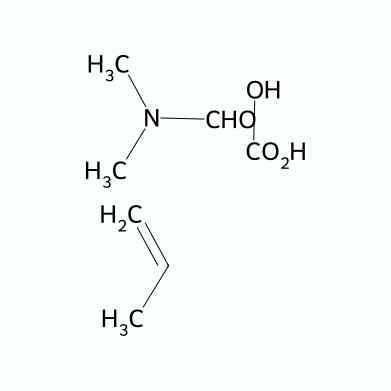 C=CC.CN(C)C=O.O=C(O)O